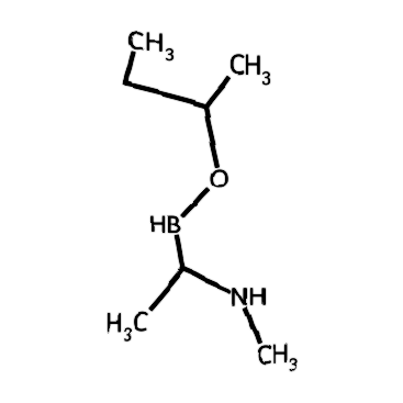 CCC(C)OBC(C)NC